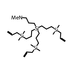 C=CC[Si](C)(C)CCC[Si](CCCNC)(CCC[Si](C)(C)CC=C)CCC[Si](C)(C)CC=C